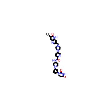 CCc1cc2ncc(CN3CCN(c4ccc(C(=O)NC5CCN(c6cccc(N7CCC(=O)NC7=O)c6)CC5)nc4)CC3)cc2[nH]c1=O